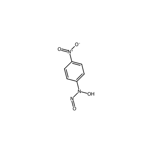 O=NN(O)c1ccc([N+](=O)[O-])cc1